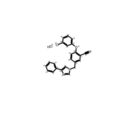 Cl.N#Cc1cc(Cn2cnc(-c3ccccc3)c2)ccc1Oc1cccc(Cl)c1